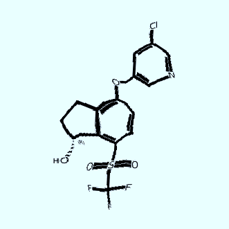 O=S(=O)(c1ccc(Oc2cncc(Cl)c2)c2c1[C@H](O)CC2)C(F)(F)F